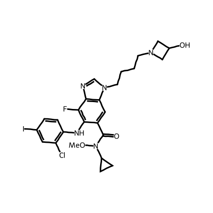 CON(C(=O)c1cc2c(ncn2CCCCN2CC(O)C2)c(F)c1Nc1ccc(I)cc1Cl)C1CC1